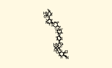 C=C1C=CN(c2cncc(N3CCC(CN4CCN(c5ccc(C(=O)N[C@H]6C(C)(C)[C@H](Oc7ccc(C#N)c(Cl)c7)C6(C)C)cc5)CC4)CC3)c2)C(=O)N1